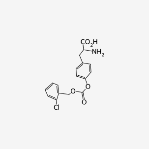 NC(Cc1ccc(OC(=O)OCc2ccccc2Cl)cc1)C(=O)O